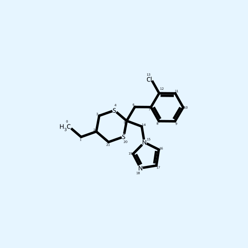 CCC1CSC(Cc2ccccc2Cl)(Cn2ccnc2)SC1